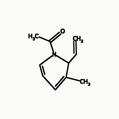 C=CC1C(C)=CC=CN1C(C)=O